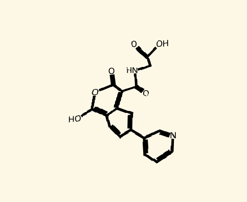 O=C(O)CNC(=O)c1c(=O)oc(O)c2ccc(-c3cccnc3)cc12